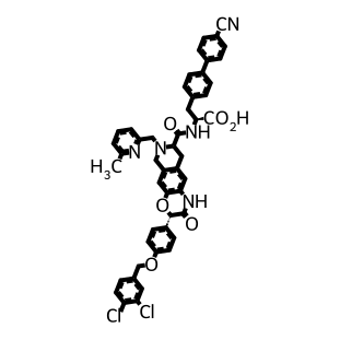 Cc1cccc(CN2Cc3cc4c(cc3CC2C(=O)N[C@@H](Cc2ccc(-c3ccc(C#N)cc3)cc2)C(=O)O)NC(=O)[C@H](c2ccc(OCc3ccc(Cl)c(Cl)c3)cc2)O4)n1